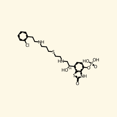 O=c1[nH]c2c(OP(=O)(O)O)ccc([C@@H](O)CNCCSCCCNCCc3ccccc3Cl)c2s1